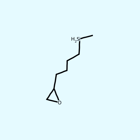 C[SiH2]CCCCC1CO1